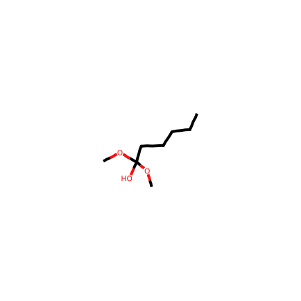 CCCCCC(O)(OC)OC